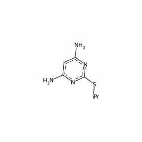 CC(C)Sc1nc(N)cc(N)n1